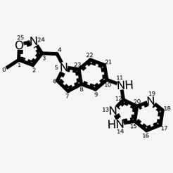 Cc1cc(Cn2ccc3cc(Nc4n[nH]c5cccnc45)ccc32)no1